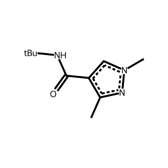 Cc1nn(C)cc1C(=O)NC(C)(C)C